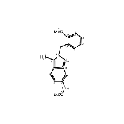 CONc1ccc2c(N)n(Cc3ccccc3OC)nc2c1